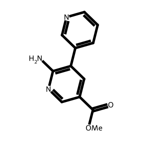 COC(=O)c1cnc(N)c(-c2cccnc2)c1